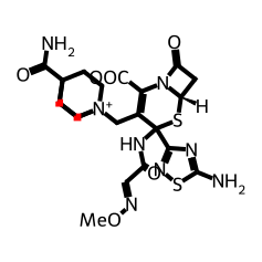 CON=CC(=O)NC1(c2nsc(N)n2)S[C@H]2CC(=O)N2C(C(=O)[O-])=C1C[N+]12CCC(C(N)=O)(CC1)CC2